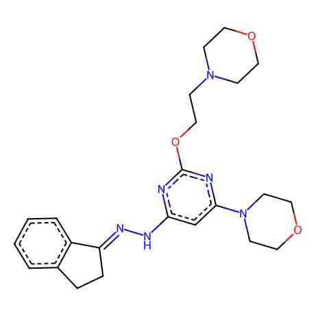 c1ccc2c(c1)CCC2=NNc1cc(N2CCOCC2)nc(OCCN2CCOCC2)n1